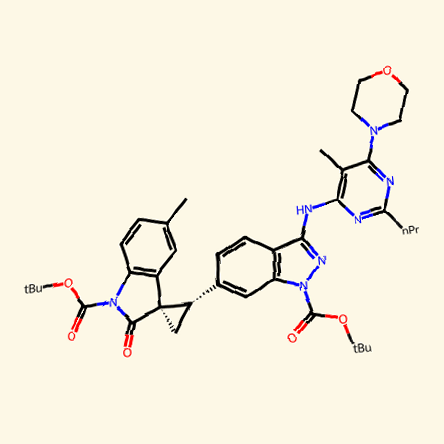 CCCc1nc(Nc2nn(C(=O)OC(C)(C)C)c3cc([C@@H]4C[C@@]45C(=O)N(C(=O)OC(C)(C)C)c4ccc(C)cc45)ccc23)c(C)c(N2CCOCC2)n1